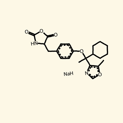 Cc1ocnc1C(C)(Oc1ccc(CC2NC(=O)OC2=O)cc1)C1CCCCC1.[NaH]